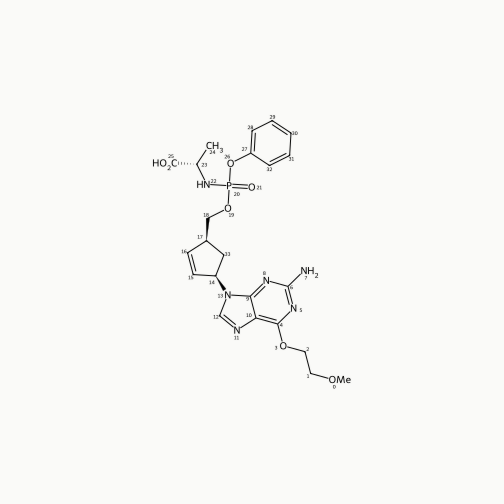 COCCOc1nc(N)nc2c1ncn2[C@H]1C=C[C@@H](COP(=O)(N[C@@H](C)C(=O)O)Oc2ccccc2)C1